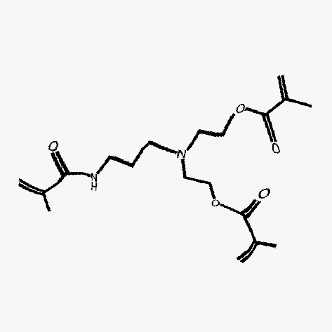 C=C(C)C(=O)NCCCN(CCOC(=O)C(=C)C)CCOC(=O)C(=C)C